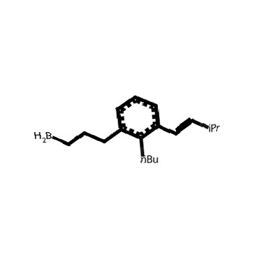 BCCCc1cccc(/C=C/C(C)C)c1CCCC